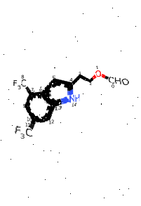 O=COCCc1cc2c(C(F)(F)F)cc(C(F)(F)F)cc2[nH]1